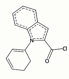 O=C(Cl)c1cc2ccccc2n1C1=CC=CCC1